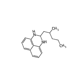 CCCC(C)CC1Nc2cccc3cccc(c23)N1